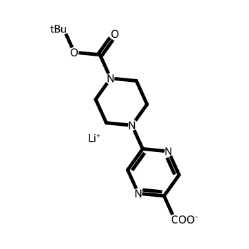 CC(C)(C)OC(=O)N1CCN(c2cnc(C(=O)[O-])cn2)CC1.[Li+]